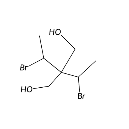 CC(Br)C(CO)(CO)C(C)Br